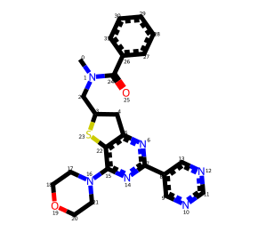 CN(CC1Cc2nc(-c3cncnc3)nc(N3CCOCC3)c2S1)C(=O)c1ccccc1